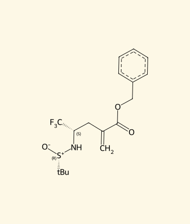 C=C(C[C@H](N[S@@+]([O-])C(C)(C)C)C(F)(F)F)C(=O)OCc1ccccc1